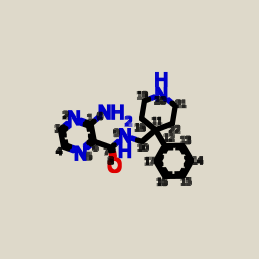 Nc1nccnc1C(=O)NCC1(c2ccccc2)CCNCC1